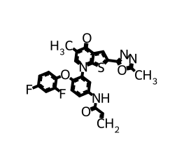 C=CC(=O)Nc1ccc(Oc2ccc(F)cc2F)c(-n2cc(C)c(=O)c3cc(-c4nnc(C)o4)sc32)c1